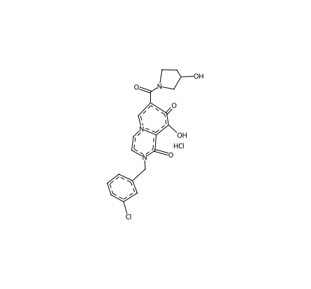 Cl.O=C(c1cn2ccn(Cc3cccc(Cl)c3)c(=O)c2c(O)c1=O)N1CCC(O)C1